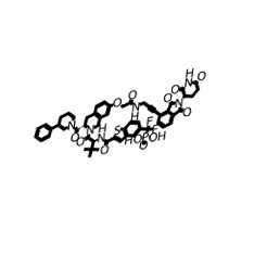 CC(C)(C)[C@H](NC(=O)c1cc2cc(C(F)(F)P(=O)(O)O)ccc2s1)C(=O)N1Cc2cc(OCC(=O)NCC#Cc3cccc4c3C(=O)N(C3CCC(=O)NC3=O)C4=O)ccc2C[C@H]1C(=O)N1CCCC(c2ccccc2)C1